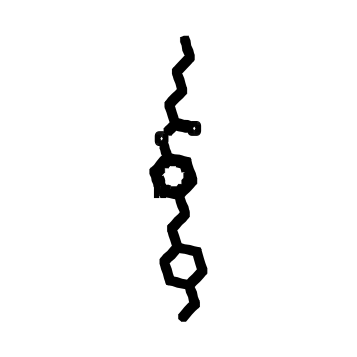 CCCCCC(=O)Oc1ccc(CCC2CCC(CC)CC2)nc1